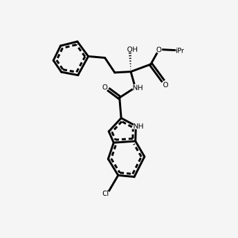 CC(C)OC(=O)[C@](O)(CCc1ccccc1)NC(=O)c1cc2cc(Cl)ccc2[nH]1